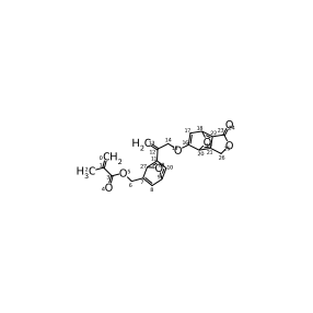 C=C(C)C(=O)OCc1cc2cc(C(=C)COc3cc4oc3c3c4C(=O)OC3)c1o2